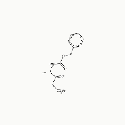 CCOC(=O)CC(=O)[C@H](C)NC(=O)OCc1ccccc1